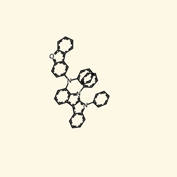 c1ccc(N(c2ccc3oc4ccccc4c3c2)c2cccc3c4c5ccccc5n(-c5ccccc5)c4n(-c4ccccc4)c23)cc1